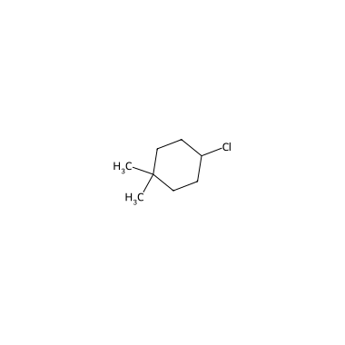 CC1(C)CCC(Cl)CC1